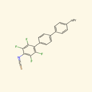 CCCc1ccc(-c2ccc(-c3c(F)c(F)c(N=C=S)c(F)c3F)cc2)cc1